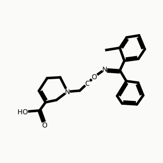 Cc1ccccc1C(=NOCCN1CCC=C(C(=O)O)C1)c1ccccc1